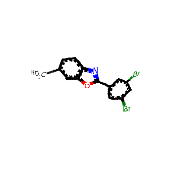 O=C(O)c1ccc2nc(-c3cc(Br)cc(Br)c3)oc2c1